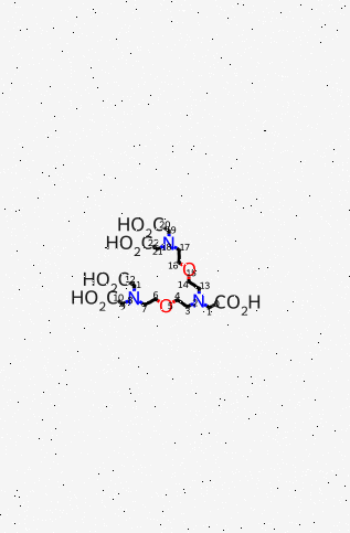 O=C(O)CN(CCOCCN(CC(=O)O)CC(=O)O)CCOCCN(CC(=O)O)CC(=O)O